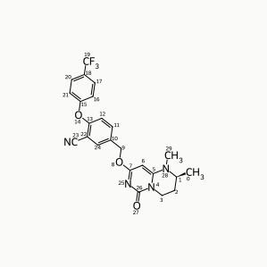 C[C@H]1CCn2c(cc(OCc3ccc(Oc4ccc(C(F)(F)F)cc4)c(C#N)c3)nc2=O)N1C